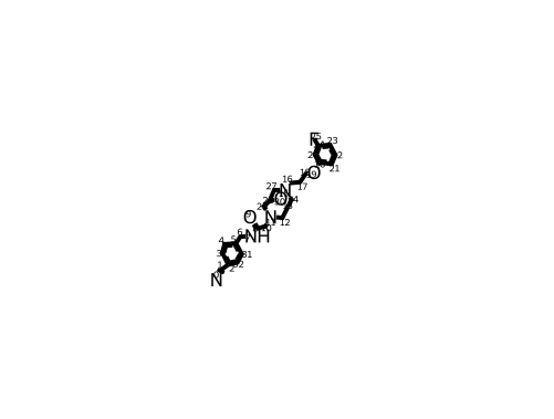 N#Cc1ccc(CNC(=O)CN2CC3CN(CCCOc4cccc(F)c4)CC(C2)O3)cc1